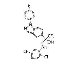 OC(CNc1cc(Cl)ccc1Cl)(c1ccc2c(cnn2-c2ccc(F)cc2)c1)C(F)(F)F